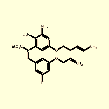 C=CCOc1cc(F)cc(CN(C(=O)OCC)c2cc(OCC/C=C/C)nc(N)c2[N+](=O)[O-])c1